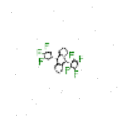 Fc1cc(-c2c3ccccc3c(-c3c(F)c(F)cc(F)c3F)c3ccccc23)cc(F)c1F